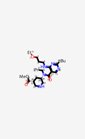 CCOCCCNc1nc(C(C)(C)C)ncc1C(=O)N(CC(C)C)[C@@H]1CNC[C@H](C(=O)OC)C1